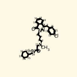 CN(CCCCn1nc(Cc2ccc(Cl)cc2)c2ccccc2c1=O)CC(=O)NCC1CCCCC1